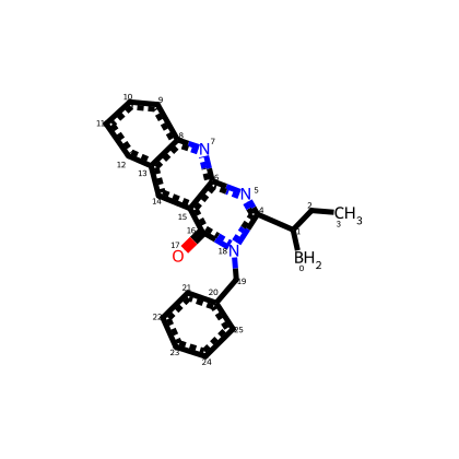 BC(CC)c1nc2nc3ccccc3cc2c(=O)n1Cc1ccccc1